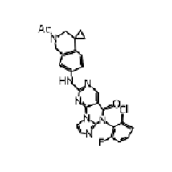 CC(=O)N1Cc2cc(Nc3ncc4c(=O)n(-c5c(F)cccc5Cl)c5nccn5c4n3)ccc2C2(CC2)C1